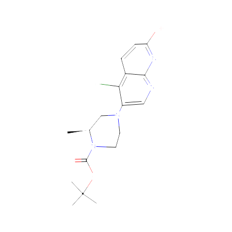 C[C@H]1CN(c2cnc3nc(O)ccc3c2Cl)CCN1C(=O)OC(C)(C)C